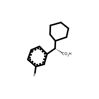 O=C(O)[C@H](c1cccc(F)c1)C1CCCCC1